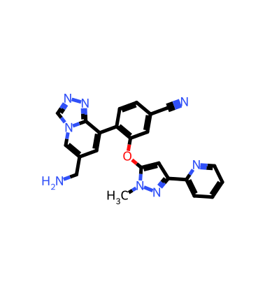 Cn1nc(-c2ccccn2)cc1Oc1cc(C#N)ccc1-c1cc(CN)cn2cnnc12